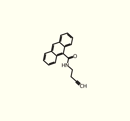 C#CCCNC(=O)c1c2ccccc2cc2ccccc12